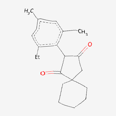 CCc1cc(C)cc(C)c1C1C(=O)CC2(CCCCC2)C1=O